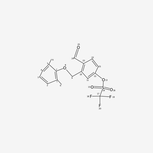 Cc1cccc(C)c1OCc1cc(OS(=O)(=O)C(F)(F)F)ccc1C=O